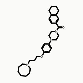 O=C(c1ccc2c(c1)CCCC2)N1CCN(c2ccc(OCCCN3CCCCCCC3)cc2)CC1